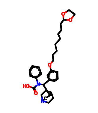 O=C(O)N(c1ccccc1)[C@@H](c1cccc(OCCCCCCCCC2OCCO2)c1)C1CN2CCC1CC2